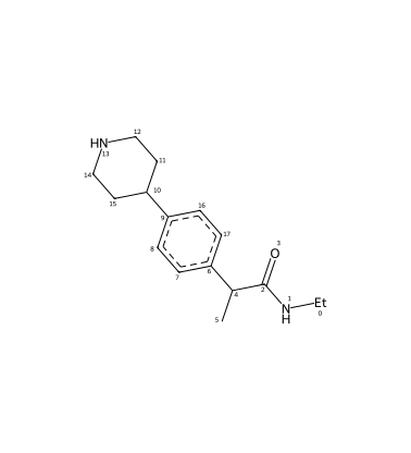 CCNC(=O)C(C)c1ccc(C2CCNCC2)cc1